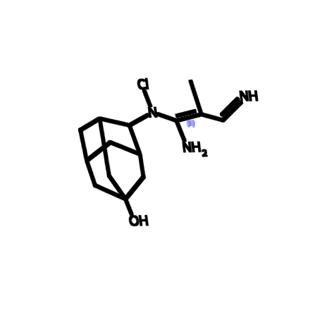 C/C(C=N)=C(/N)N(Cl)C1C2CC3CC1CC(O)(C3)C2